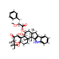 CO[C@H](Cc1ccccc1)C(=O)O[C@H]1C[C@H]2Cc3c([nH]c4ccccc34)[C@]2(C)C2(C)CC[C@@]34O[C@@H](C(=O)C=C3[C@]12O)C(C)(C)O4